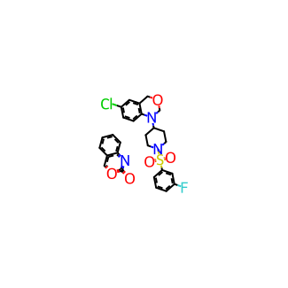 O=S(=O)(c1cccc(F)c1)N1CCC(N2COCc3cc(Cl)ccc32)CC1.O=c1nc2ccccc2co1